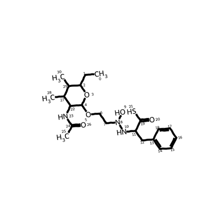 CCC1OC(OCCN(O)NC(Cc2ccccc2)C(=O)S)C(NC(C)=O)C(C)C1C